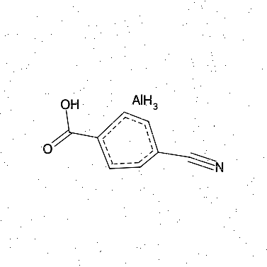 N#Cc1ccc(C(=O)O)cc1.[AlH3]